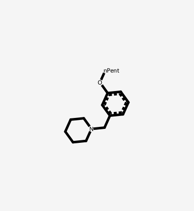 CCCCCOc1cccc(CN2CCCCC2)c1